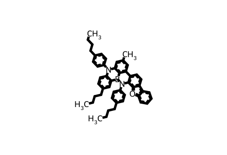 CCCCc1ccc(N2B3c4cc(CCCC)ccc4N(c4ccc(CCCC)cc4)c4cc(C)cc(c43)-c3ccc4c(oc5ccccc54)c32)cc1